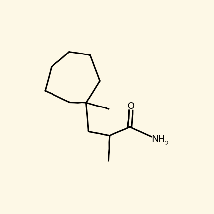 CC(CC1(C)CCCCCC1)C(N)=O